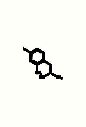 Cc1nc(I)ccc1CC(N)O